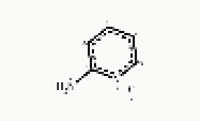 Nc1ccccn1.[C]